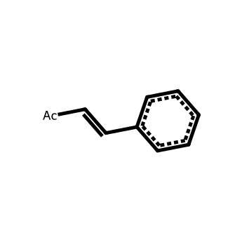 CC(=O)C=Cc1ccccc1